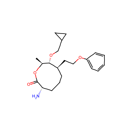 C[C@@H]1OC(=O)[C@@H](N)CCC[C@H](CCOc2ccccc2)[C@H]1OCC1CC1